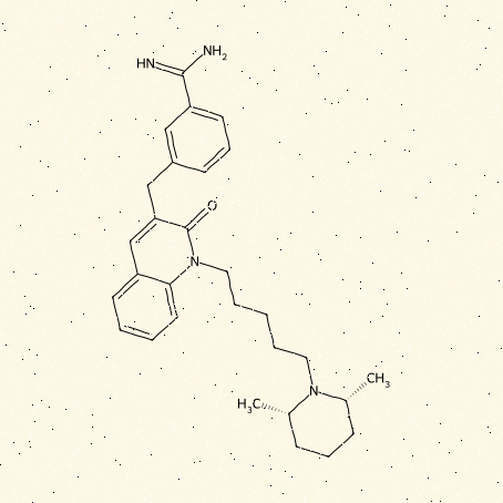 C[C@@H]1CCC[C@H](C)N1CCCCCn1c(=O)c(Cc2cccc(C(=N)N)c2)cc2ccccc21